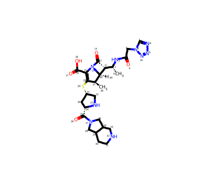 C[C@@H](NC(=O)Cn1cnnn1)[C@H]1C(=O)N2C(C(=O)O)=C(S[C@@H]3CN[C@H](C(=O)N4CC5CCNCC5C4)C3)[C@H](C)[C@H]12